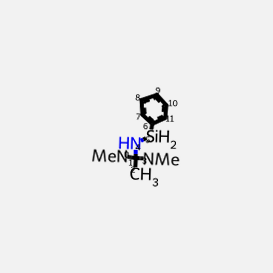 CNC(C)(NC)N[SiH2]c1ccccc1